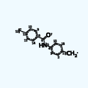 [CH2]c1ccc(NC(=O)c2ccc(F)cc2)cc1